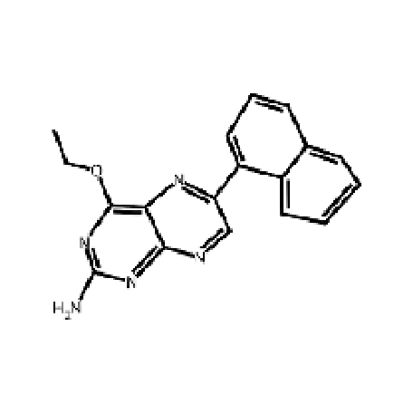 CCOc1nc(N)nc2ncc(-c3cccc4ccccc34)nc12